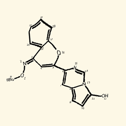 CC(C)(C)ON=c1cc(-c2cc3ccc(O)n3cn2)oc2ccccc12